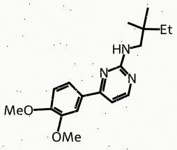 CCC(C)(C)CNc1nccc(-c2ccc(OC)c(OC)c2)n1